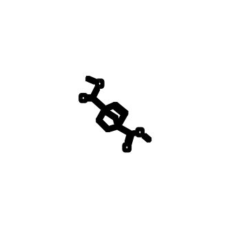 COC(=O)C12C=CC(C(=O)OC)(CC1)CC2